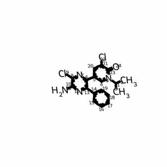 CC(C)n1cc(-c2nc(Cl)c(N)nc2-c2ccccc2)cc(Cl)c1=O